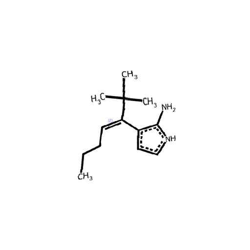 CCC/C=C(\c1cc[nH]c1N)C(C)(C)C